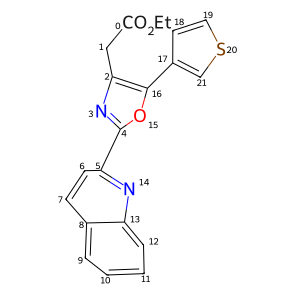 CCOC(=O)Cc1nc(-c2ccc3ccccc3n2)oc1-c1ccsc1